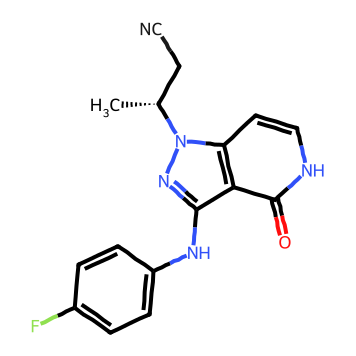 C[C@H](CC#N)n1nc(Nc2ccc(F)cc2)c2c(=O)[nH]ccc21